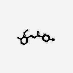 CCN1C(C=CNc2ccc(Br)cn2)=CC=CC1C